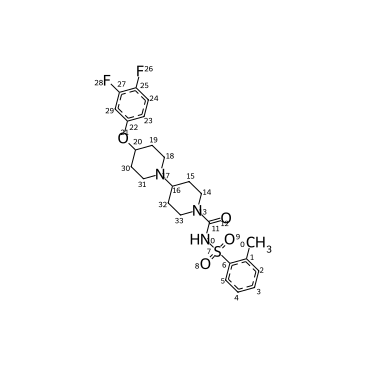 Cc1ccccc1S(=O)(=O)NC(=O)N1CCC(N2CCC(Oc3ccc(F)c(F)c3)CC2)CC1